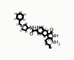 C=C/C=C\C1=C(N)NC(=O)C12Cc1cnc(C(=O)N[C@H]3CCN(Cc4ccccc4)C3)cc1C2